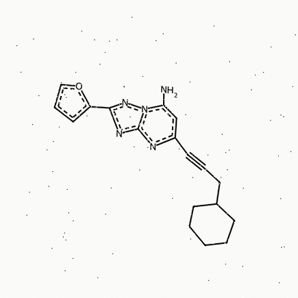 Nc1cc(C#CCC2CCCCC2)nc2nc(-c3ccco3)nn12